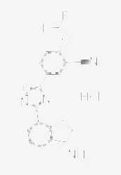 Cl.N#Cc1cc(-c2nc(-c3cccc4c3CC[C@@H]4N)no2)ccc1OC(F)F